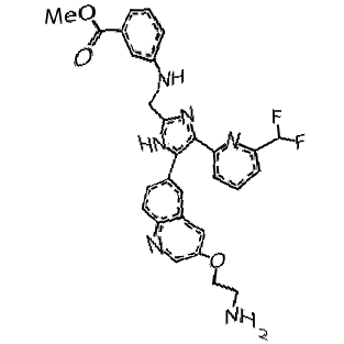 COC(=O)c1cccc(NCc2nc(-c3cccc(C(F)F)n3)c(-c3ccc4ncc(OCCN)cc4c3)[nH]2)c1